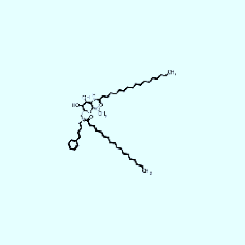 CCCCCCCCCCCCCCCCCC(=O)N[C@H]1[C@@H](OC)O[C@H](CN(CCCCc2ccccc2)C(=O)CCCCCCCCCCCCCCCCC)[C@@H](O)[C@@H]1O